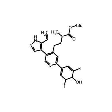 C=Cc1[nH]ncc1-c1cnc(C2=CC(I)C(O)C(I)=C2)cc1CCN(C)C(=O)OC(C)(C)C